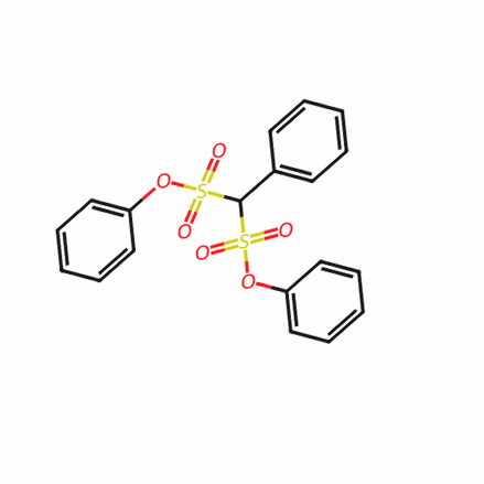 O=S(=O)(Oc1ccccc1)C(c1ccccc1)S(=O)(=O)Oc1ccccc1